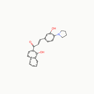 O=C(/C=C/c1ccc(N2CCCC2)c(O)c1)c1ccc2ccccc2c1O